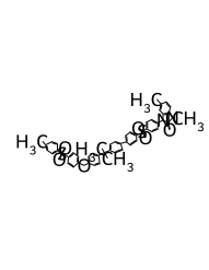 Cc1ccc(S(=O)(=O)c2ccc(Oc3ccc(C(C)(C)c4ccc(-c5ccc(S(=O)(=O)c6ccc(-n7c(=O)n(C)c8ccc(C)cc87)cc6)cc5)cc4)cc3)cc2)cc1